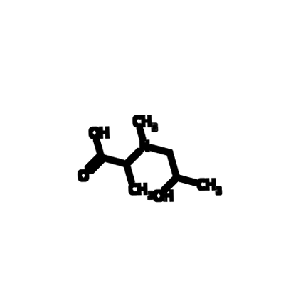 CC(O)CN(C)C(C)C(=O)O